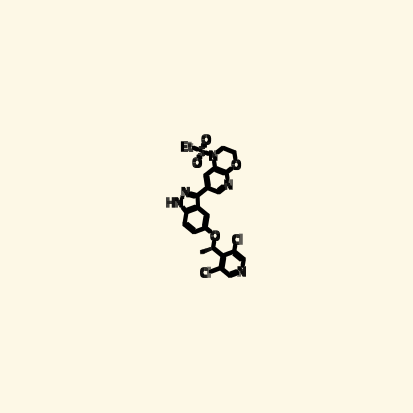 CCS(=O)(=O)N1CCOc2ncc(-c3n[nH]c4ccc(O[C@H](C)c5c(Cl)cncc5Cl)cc34)cc21